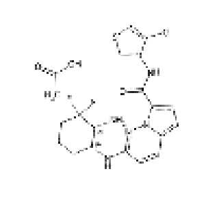 CC(=O)O.N[C@@H]1[C@H](Nc2ccc3ccc(C(=O)Nc4cscc4Cl)n3n2)CCCC1(F)F